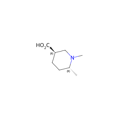 C[C@@H]1CC[C@@H](C(=O)O)CN1C